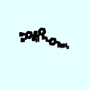 NN=Cc1ccc(CCSc2ccccc2NS(=O)(=O)c2ccc(Br)c(Br)c2)cc1